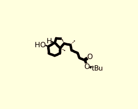 C[C@H](CCCC(=O)OC(C)(C)C)[C@H]1CC[C@H]2[C@H](O)CCC[C@]12C